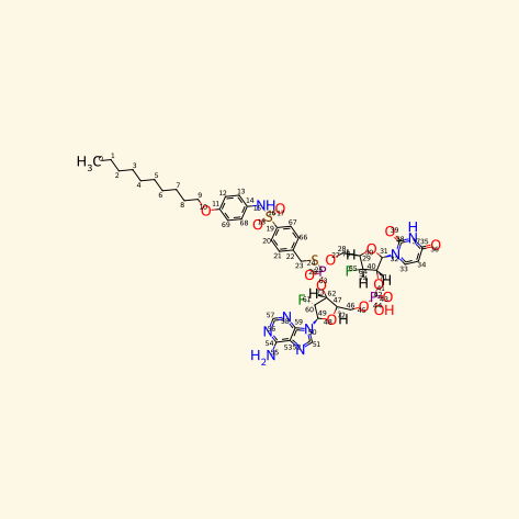 CCCCCCCCCCOc1ccc(NS(=O)(=O)c2ccc(CSP3(=O)OC[C@H]4O[C@@H](n5ccc(=O)[nH]c5=O)[C@H](OP(=O)(O)OC[C@H]5O[C@@H](n6cnc7c(N)ncnc76)[C@H](F)[C@@H]5O3)[C@@H]4F)cc2)cc1